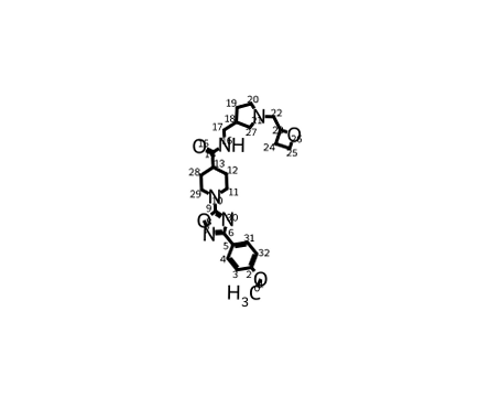 COc1ccc(-c2noc(N3CCC(C(=O)NCC4CCN(CC5CCO5)C4)CC3)n2)cc1